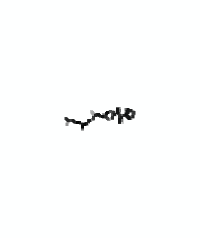 CC(C)=CCCC(C)=CCCC(C)=CCN1CCN(C(=S)Nc2ccccn2)CC1